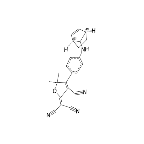 CC1(C)OC(=C(C#N)C#N)C(C#N)=C1c1ccc(NC2[C@@H]3C=C[C@H]2CC3)cc1